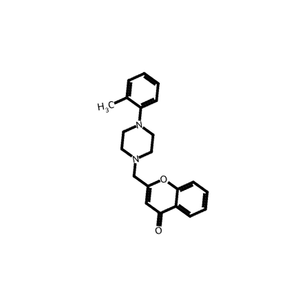 Cc1ccccc1N1CCN(Cc2cc(=O)c3ccccc3o2)CC1